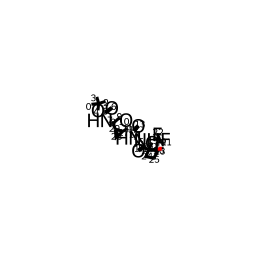 CC(C)(C)OC(=O)N[C@H]1CO[C@H](C(=O)NNC(=O)C2(OC(F)(F)F)CCC2)C2CC21